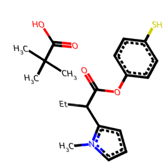 CC(C)(C)C(=O)O.CCC(C(=O)Oc1ccc(S)cc1)c1cccn1C